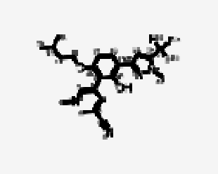 C=N/C=C(\C=C(/C)C#N)c1c(OCCC(C)C)ccc(-c2cc(C(F)(F)F)n(C)n2)c1O